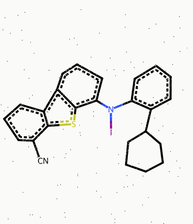 N#Cc1cccc2c1sc1c(N(I)c3ccccc3C3CCCCC3)cccc12